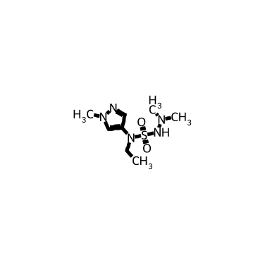 CCN(c1cnn(C)c1)S(=O)(=O)NN(C)C